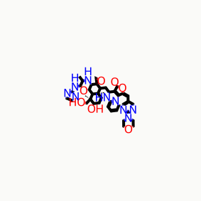 CC(NC1CC2[C@](C)(CC[C@@H](O)[C@@]2(C)CO)C(CC(Nc2ccccn2)C2=C/C(=C\c3cnc(N4CCOCC4)nc3)OC2=O)C12CO2)C(=O)NC1=NCC=N1